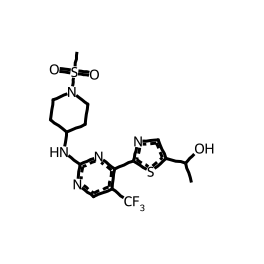 CC(O)c1cnc(-c2nc(NC3CCN(S(C)(=O)=O)CC3)ncc2C(F)(F)F)s1